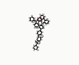 c1ccc(-c2nc3cc4c(cc3o2)oc2cc(-c3ccc(N(c5ccccc5-c5ccccc5)c5cccc6c5c5ccccc5n6-c5ccccc5)cc3)ccc24)cc1